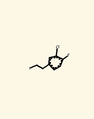 Fc1ccc(CCI)cc1Cl